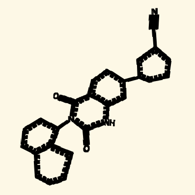 N#Cc1cccc(-c2ccc3c(=O)n(-c4cccc5ccccc45)c(=O)[nH]c3c2)c1